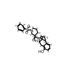 CC1(C)[C@H]2Cc3c(O)cccc3[C@]1(C)CCN2C(=O)C1CCCN(S(=O)(=O)c2ccccc2)C1